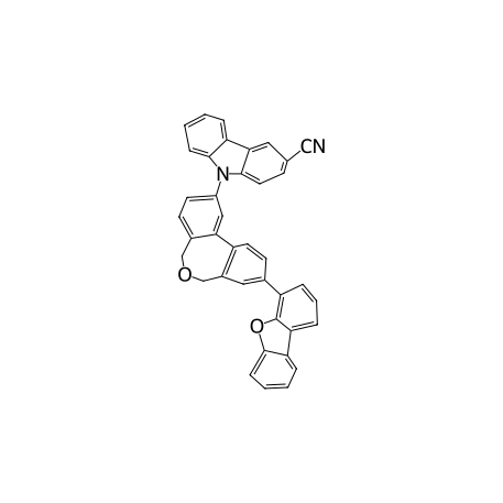 N#Cc1ccc2c(c1)c1ccccc1n2-c1ccc2c(c1)-c1ccc(-c3cccc4c3oc3ccccc34)cc1COC2